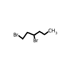 CCC[C](Br)CCBr